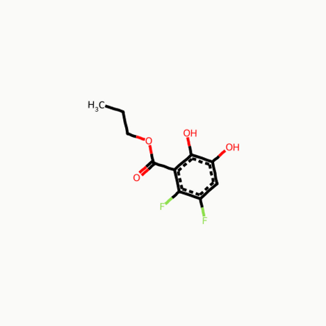 CCCOC(=O)c1c(O)c(O)cc(F)c1F